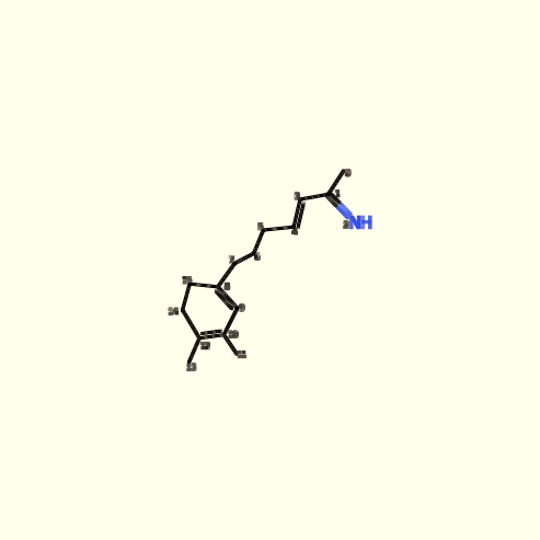 CC(=N)/C=C/CCCC1=CC(C)=C(C)CC1